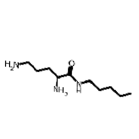 CCCCCNC(=O)[C@@H](N)CCCN